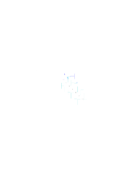 CCCCCCCCC(N)(F)C(F)(F)C(F)(F)C(F)(F)C(F)(F)C(F)(F)C(F)(F)F